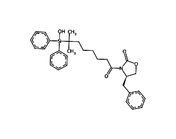 CC(C)(CCCCCC(=O)N1C(=O)OC[C@H]1Cc1ccccc1)[Si](O)(c1ccccc1)c1ccccc1